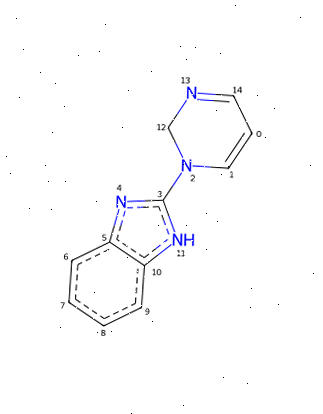 C1=CN(c2nc3ccccc3[nH]2)CN=C1